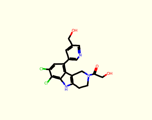 O=C(CO)N1CCc2[nH]c3c(Cl)c(Cl)cc(-c4cncc(CO)c4)c3c2C1